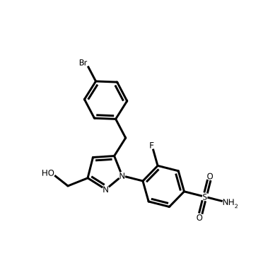 NS(=O)(=O)c1ccc(-n2nc(CO)cc2Cc2ccc(Br)cc2)c(F)c1